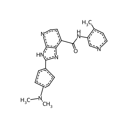 Cc1ccncc1NC(=O)c1ccnc2[nH]c(-c3ccc(N(C)C)cc3)nc12